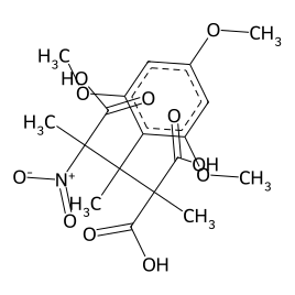 COc1cc(OC)c(C(C)(C(C)(C(=O)O)C(=O)O)C(C)(C(=O)O)[N+](=O)[O-])c(OC)c1